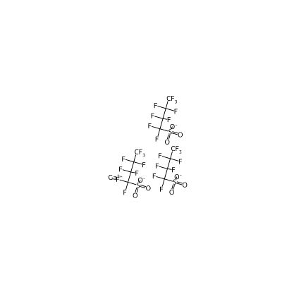 O=S(=O)([O-])C(F)(F)C(F)(F)C(F)(F)C(F)(F)F.O=S(=O)([O-])C(F)(F)C(F)(F)C(F)(F)C(F)(F)F.O=S(=O)([O-])C(F)(F)C(F)(F)C(F)(F)C(F)(F)F.[Ga+3]